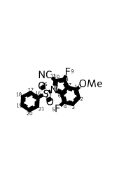 COc1ccc(F)c2c1c(F)c(C#N)n2S(=O)(=O)c1ccccc1